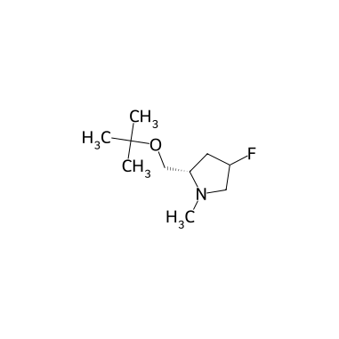 CN1CC(F)C[C@H]1COC(C)(C)C